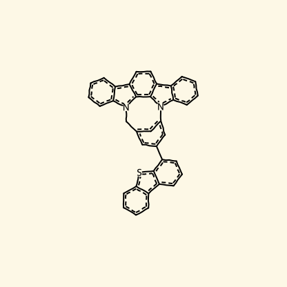 c1ccc2c(c1)sc1c(-c3cc4cc(c3)-n3c5ccccc5c5ccc6c7ccccc7n(c6c53)C4)cccc12